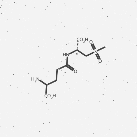 CS(=O)(=O)C[C@H](NC(=O)CCC(N)C(=O)O)C(=O)O